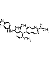 CNc1ncc2cc(-c3c(C)ccc4c(Nc5ccc6ncsc6c5)nn(C)c34)ccc2n1